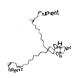 CCCCC/C=C\C/C=C\CCCCCCCCC1(CCCCCCCC/C=C\C/C=C\CCCCC)CC2(C1)O[C@H]1CNC[C@H]1O2